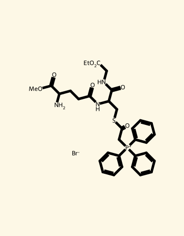 CCOC(=O)CNC(=O)C(CSC(=O)C[P+](c1ccccc1)(c1ccccc1)c1ccccc1)NC(=O)CCC(N)C(=O)OC.[Br-]